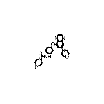 CN1CCN(C(=O)N[C@H]2CC[C@@H](Oc3cc(N4CCOCC4)cc4nccnc34)CC2)CC1